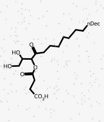 CCCCCCCCCCCCCCCCCC(=O)C(OC(=O)CCC(=O)O)C(O)CO